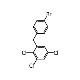 Clc1cc(Cl)c(Cl)c(Cc2ccc(Br)cc2)c1